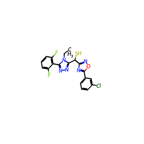 CCn1c(-c2c(F)cccc2F)nnc1C(S)c1noc(-c2cccc(Cl)c2)n1